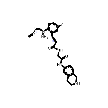 C=N/N=C\N(N)c1ccc(Cl)cc1/C=C/C(=O)NCC(=O)Nc1ccc2c(c1)CCNC2